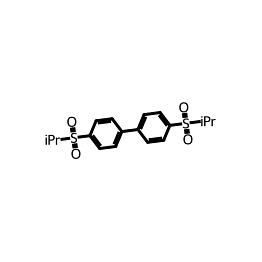 CC(C)S(=O)(=O)c1ccc(-c2ccc(S(=O)(=O)C(C)C)cc2)cc1